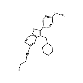 COc1ncc(-c2[nH]c3ncc(C#CCCO)cc3c2CC2CCOCC2)cn1